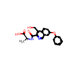 C[C@H](NC(=O)c1ncc2cc(Oc3ccccc3)ccc2c1CO)C(=O)O